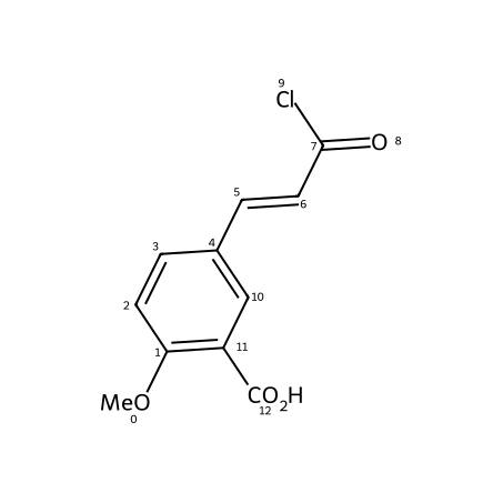 COc1ccc(C=CC(=O)Cl)cc1C(=O)O